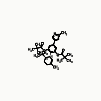 C=C(C)[C@@H]1CCC(C)=C[C@H]1c1c(OC(=O)C(C)(C)C)cc(-c2cnn(C)c2)cc1OC(=O)C(C)(C)C